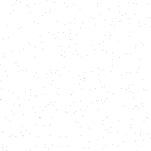 CC(c1ccc(C(=O)C(CN)CCc2nnn[nH]2)s1)c1cnc2[nH]c(N)nc(O)c1-2